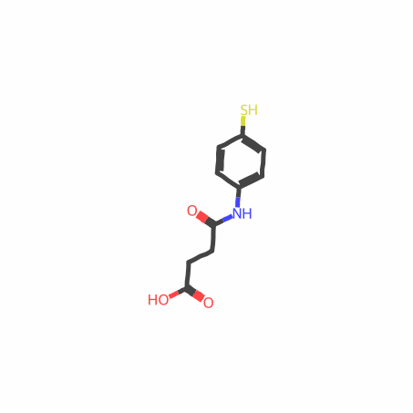 O=C(O)CCC(=O)Nc1ccc(S)cc1